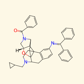 O=C(c1ccccc1)N1C[C@H]2OC34CCC1C2C31CCN(CC2CC2)C4Cc2ccc(N=C(c3ccccc3)c3ccccc3)cc21